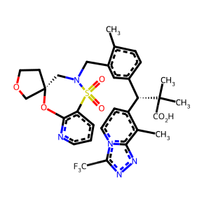 Cc1ccc([C@@H](c2ccn3c(C(F)(F)F)nnc3c2C)C(C)(C)C(=O)O)cc1CN1C[C@]2(CCOC2)Oc2ncccc2S1(=O)=O